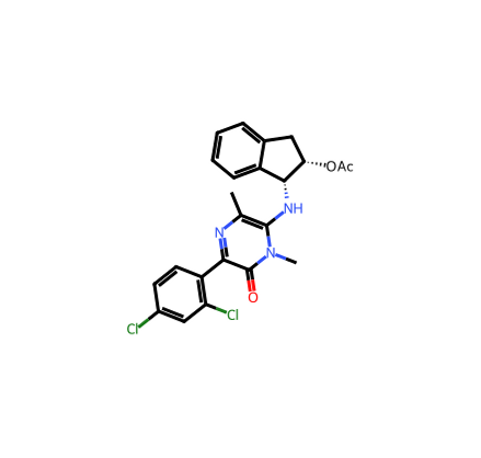 CC(=O)O[C@H]1Cc2ccccc2[C@H]1Nc1c(C)nc(-c2ccc(Cl)cc2Cl)c(=O)n1C